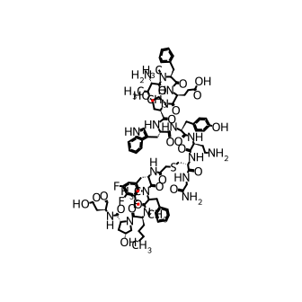 CCCC[C@@H](C(=O)N1C[C@H](O)C[C@@H]1C(=O)N[C@H](C=O)CC(=O)O)N(C)C(=O)C(Cc1ccccc1)N(C)C(=O)[C@H](Cc1cc(F)c(F)c(F)c1)NC(=O)CSC[C@H](NC(=O)[C@H](CCN)NC(=O)[C@H](Cc1ccc(O)cc1)NC(=O)[C@H](Cc1c[nH]c2ccccc12)NC(=O)[C@H]1C[C@@H](O)CN1C(=O)[C@H](CCC(=O)O)NC(=O)[C@H](Cc1ccccc1)N(C)C(=O)[C@@H](N)C(C)C)C(=O)NCC(N)=O